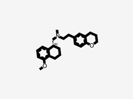 COc1cccc2c1CCC[C@H]2CN(C)CCc1ccc2c(c1)CCCO2